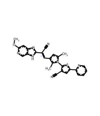 COc1cc2nc(/C(C#N)=C/c3cc(C)n(-c4sc(-c5ccccn5)cc4C#N)c3C)[nH]c2cn1